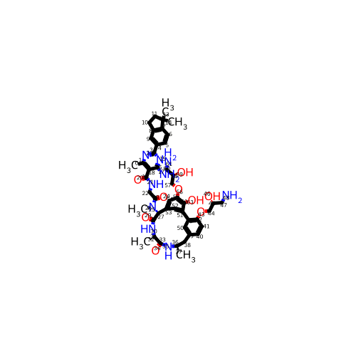 Cc1nc(-c2ccc3c(c2)CCC3(C)C)nc(N)c1C(=O)NCC(=O)N(C)[C@@H]1C(=O)N[C@@H](C)C(=O)N[C@H](C)Cc2ccc(OC[C@H](O)CN)c(c2)-c2cc1cc(OC[C@H](O)CN)c2O